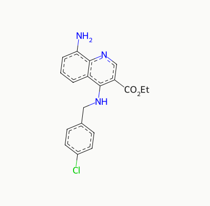 CCOC(=O)c1cnc2c(N)cccc2c1NCc1ccc(Cl)cc1